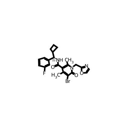 Cc1c(C(=O)N[C@H](c2cccc(F)c2)C2CCC2)c(C)n(Cc2ncco2)c(=O)c1Br